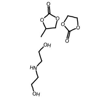 CC1COC(=O)O1.O=C1OCCO1.OCCNCCO